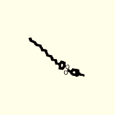 CCCCCCCCCCCCc1ccc(OC(=O)c2ccc(C)cc2)cc1